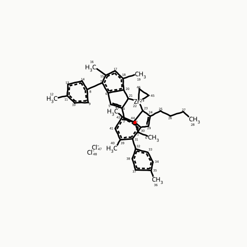 CCCCC1=Cc2c(-c3ccc(C)cc3)c(C)cc(C)c2[CH]1[Zr+2]1([CH]2C(CCCC)=Cc3c(-c4ccc(C)cc4)c(C)cc(C)c32)[CH2][CH2]1.[Cl-].[Cl-]